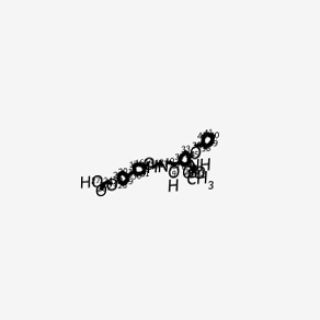 CS(=O)(=O)Nc1cc([C@@H](O)CNCCOc2ccc(-c3ccc(OCC(=O)O)cc3)cc2)ccc1OCc1ccccc1